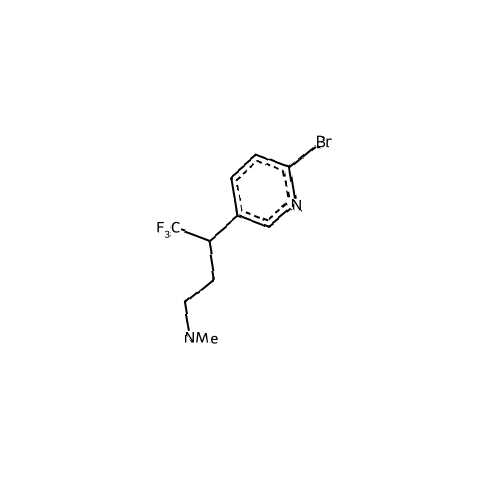 CNCCC(c1ccc(Br)nc1)C(F)(F)F